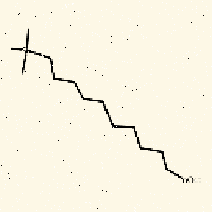 CCCCCCCCCCCCCCCCCC[Si](C)(C)C